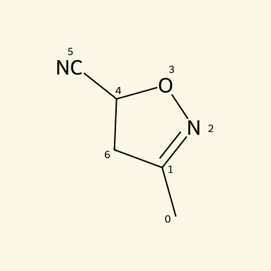 CC1=NOC(C#N)C1